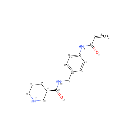 C=CC(=O)Nc1ccc(CNC(=O)[C@@H]2CCCNC2)cc1